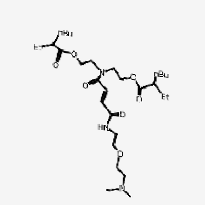 CCCCC(CC)C(=O)OCCN(CCOC(=O)C(CC)CCCC)C(=O)C=CC(=O)NCCOCCN(C)C